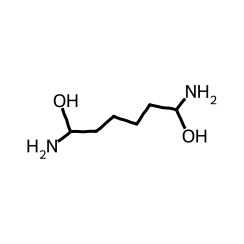 NC(O)CCCCC(N)O